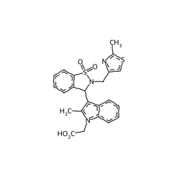 Cc1nc(CN2C(c3c(C)n(CC(=O)O)c4ccccc34)c3ccccc3S2(=O)=O)cs1